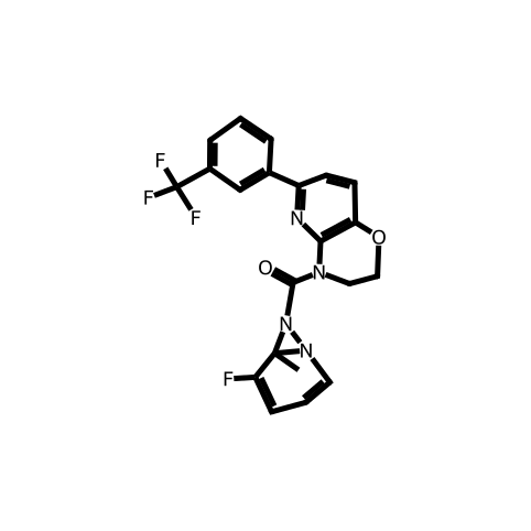 CC12C(F)=CC=CN1N2C(=O)N1CCOc2ccc(-c3cccc(C(F)(F)F)c3)nc21